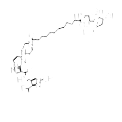 C[C@@H]1C[C@@H](O)CN1C(=O)[C@@H](NC(=O)CCCCCCCCCCC(=O)N1CCN(c2ccn3ncc(C(=O)Nc4cn(C)nc4C(F)F)c3n2)CC1)C(C)(C)C